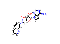 Nc1ncnc2c1ccn2[C@@H]1O[C@H](CNc2ccc3cccnc3c2)[C@@H](O)[C@H]1O